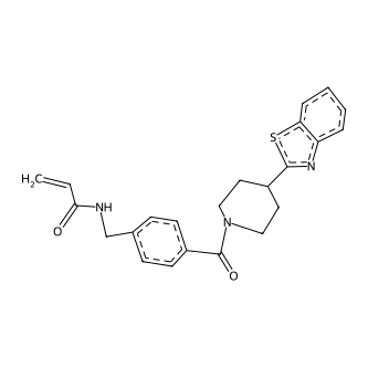 C=CC(=O)NCc1ccc(C(=O)N2CCC(c3nc4ccccc4s3)CC2)cc1